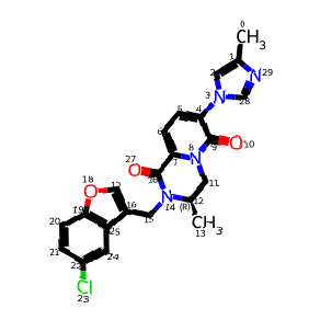 Cc1cn(-c2ccc3n(c2=O)C[C@@H](C)N(Cc2coc4ccc(Cl)cc24)C3=O)cn1